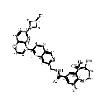 O=C(NCc1cc2nc(N3CCOc4ccc(N5CC(F)C5)nc43)ccc2cn1)c1cc(F)c2c(c1)S(=O)(=O)[C@@H](F)CCO2